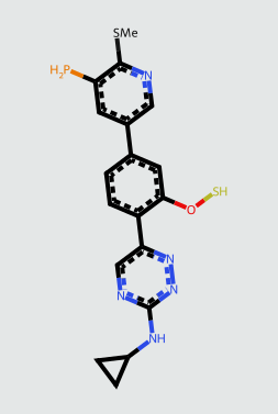 CSc1ncc(-c2ccc(-c3cnc(NC4CC4)nn3)c(OS)c2)cc1P